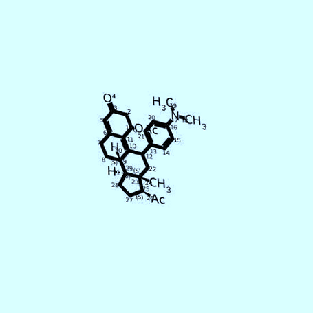 CC(=O)OC1CC(=O)C=C2CC[C@@H]3C(=C21)C(c1ccc(N(C)C)cc1)C[C@]1(C)[C@@H](C(C)=O)CC[C@@H]31